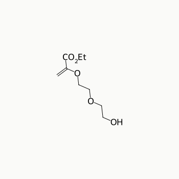 C=C(OCCOCCO)C(=O)OCC